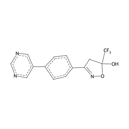 OC1(C(F)(F)F)CC(c2ccc(-c3cncnc3)cc2)=NO1